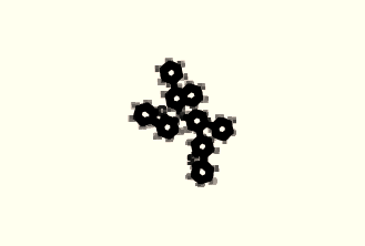 c1ccc(-c2ccc(N(c3ccc(-c4ccccc4)c4ccccc34)c3cccc4c3oc3ccccc34)cc2-c2ccc3c(c2)sc2ccccc23)cc1